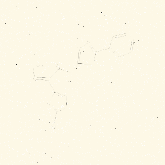 CO/N=C(\C(=O)Oc1nnc(-c2ccccc2)o1)c1csc(N)n1